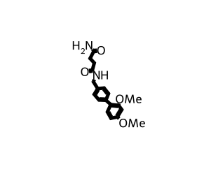 COc1ccc(-c2ccc(CNC(=O)CCC(N)=O)cc2)c(OC)c1